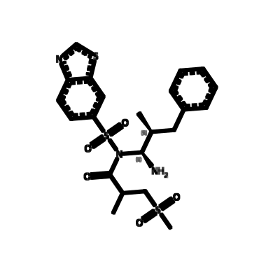 CC(CS(C)(=O)=O)C(=O)N([C@H](N)[C@@H](C)Cc1ccccc1)S(=O)(=O)c1ccc2ncsc2c1